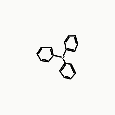 c1ccc([O+](c2ccccc2)c2ccccc2)cc1